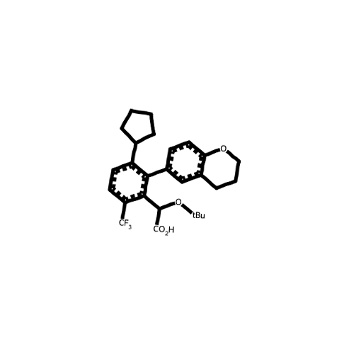 CC(C)(C)OC(C(=O)O)c1c(C(F)(F)F)ccc(C2CCCC2)c1-c1ccc2c(c1)CCCO2